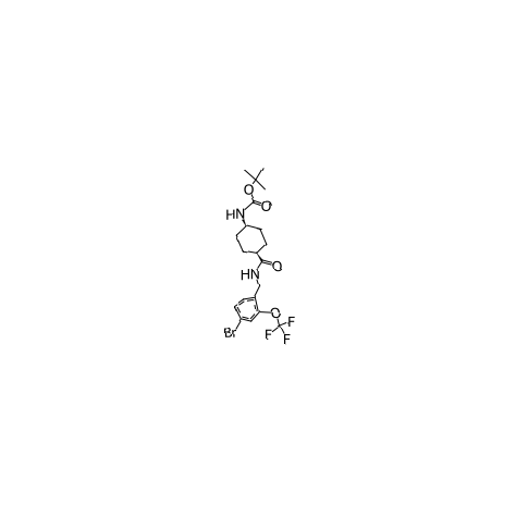 CC(C)(C)OC(=O)N[C@H]1CC[C@@H](C(=O)NCc2ccc(Br)cc2OC(F)(F)F)CC1